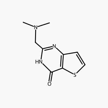 CN(C)Cc1nc2ccsc2c(=O)[nH]1